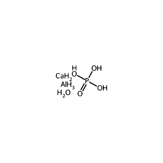 O.O=P(O)(O)O.[AlH3].[CaH2]